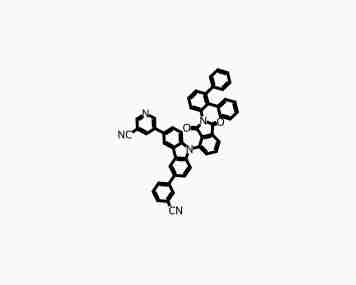 N#Cc1cccc(-c2ccc3c(c2)c2cc(-c4cncc(C#N)c4)ccc2n3-c2cccc3c2C(=O)N(c2cccc(-c4ccccc4)c2-c2ccccc2)C3=O)c1